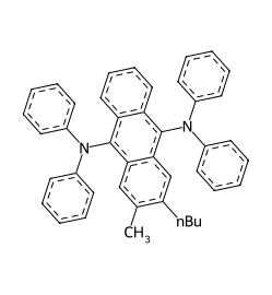 CCCCc1cc2c(N(c3ccccc3)c3ccccc3)c3ccccc3c(N(c3ccccc3)c3ccccc3)c2cc1C